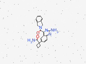 NC(=O)C1(c2ccc3nc(N)nc(C(=O)N4Cc5ccccc5C4)c3c2)CCC1